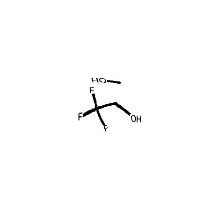 CO.OCC(F)(F)F